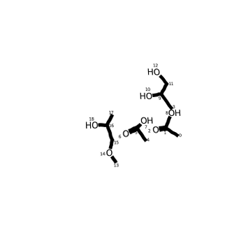 CC(=O)O.CC(=O)O.CC(O)CO.COCC(C)O